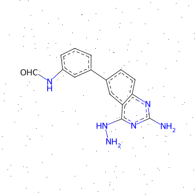 NNc1nc(N)nc2ccc(-c3cccc(NC=O)c3)cc12